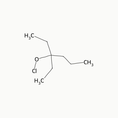 CCCC(CC)(CC)OCl